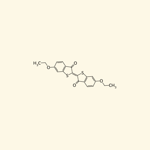 CCOc1ccc2c(c1)S/C(=C1/Sc3cc(OCC)ccc3C1=O)C2=O